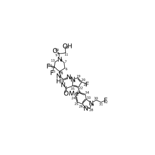 COc1nc(N[C@@H]2CCN(C(=O)CO)CC2(F)F)nn2cc(F)c(-c3ccc4ncn(CCF)c4c3)c12